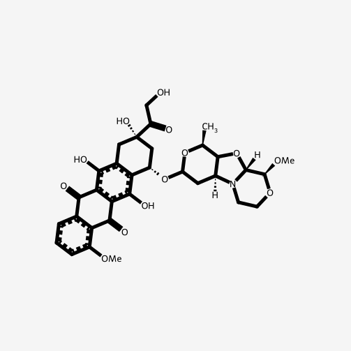 COc1cccc2c1C(=O)c1c(O)c3c(c(O)c1C2=O)C[C@@](O)(C(=O)CO)C[C@@H]3OC1C[C@H]2C(O[C@@H]3[C@@H](OC)OCCN32)[C@H](C)O1